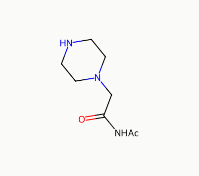 CC(=O)NC(=O)CN1CCNCC1